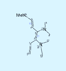 C=C/C(=C(\C=C\NC)N(C)C)N(C)C